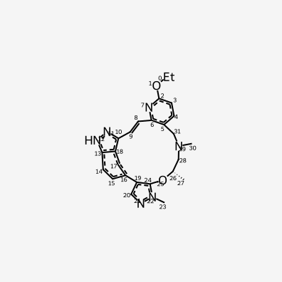 CCOc1ccc2c(n1)/C=C/c1n[nH]c3ccc(cc13)-c1cnn(C)c1O[C@@H](C)CN(C)C2